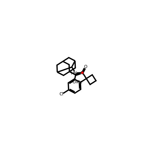 COC(=O)C12CC3CC(C1)C(NC(=O)C1(c4ccc(Cl)cc4)CCC1)C(C3)C2